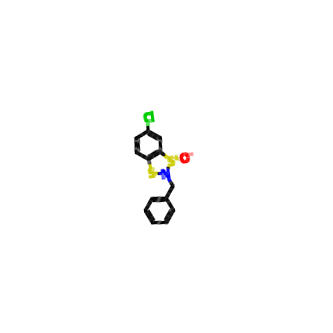 [O-][S+]1c2cc(Cl)ccc2SN1Cc1ccccc1